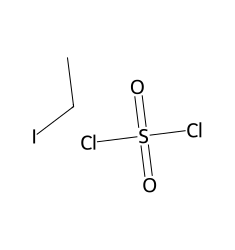 CCI.O=S(=O)(Cl)Cl